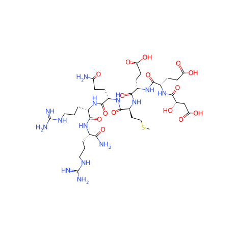 CSCC[C@H](NC(=O)[C@H](CCC(=O)O)NC(=O)[C@H](CCC(=O)O)NC(=O)[C@@H](O)CC(=O)O)C(=O)N[C@@H](CCC(N)=O)C(=O)N[C@@H](CCCNC(=N)N)C(=O)N[C@@H](CCCNC(=N)N)C(N)=O